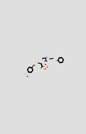 CC(=C(C(=O)OCc1ccc([N+](=O)[O-])cc1)N1C(=O)C2N=C(COc3ccccc3)SC21)S(C)(=O)=O